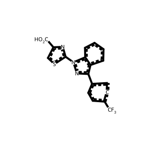 O=C(O)c1csc(-n2nc(-c3ccc(C(F)(F)F)cc3)c3ccccc32)n1